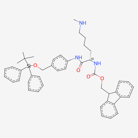 CNCCCC[C@H](NC(=O)OCC1c2ccccc2-c2ccccc21)C(=O)Nc1ccc(CO[Si](c2ccccc2)(c2ccccc2)C(C)(C)C)cc1